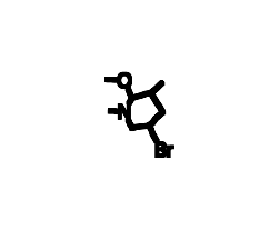 COC1C(C)CC(Br)CN1C